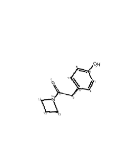 O=C(Cc1ccc(O)cc1)N1CCC1